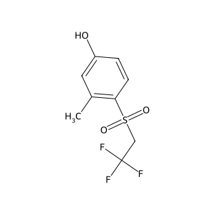 Cc1cc(O)ccc1S(=O)(=O)CC(F)(F)F